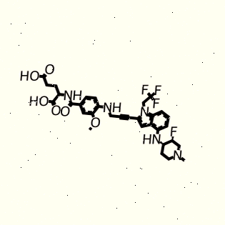 COc1cc(C(=O)NC(CCC(=O)O)C(=O)O)ccc1NCC#Cc1cc2c(N[C@@H]3CCN(C)C[C@@H]3F)cccc2n1CC(F)(F)F